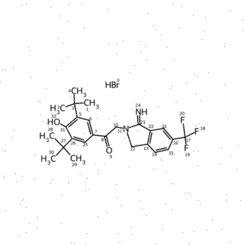 Br.CC(C)(C)c1cc(C(=O)CN2Cc3ccc(C(F)(F)F)cc3C2=N)cc(C(C)(C)C)c1O